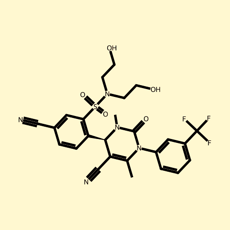 CC1=C(C#N)[C@@H](c2ccc(C#N)cc2S(=O)(=O)N(CCO)CCO)N(C)C(=O)N1c1cccc(C(F)(F)F)c1